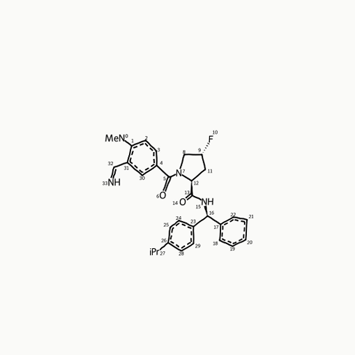 CNc1ccc(C(=O)N2C[C@H](F)C[C@H]2C(=O)N[C@@H](c2ccccc2)c2ccc(C(C)C)cc2)cc1C=N